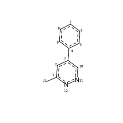 [CH2]c1cc(-c2ccccc2)cnn1